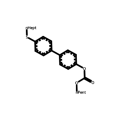 CCCCCCCSc1ccc(-c2ccc(OC(=O)OCCCCC)cc2)cc1